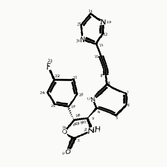 O=C1N[C@H](c2cccc(C#Cc3cnccn3)n2)[C@@H](c2ccc(F)cc2)O1